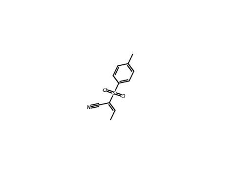 C/C=C(\C#N)S(=O)(=O)c1ccc(C)cc1